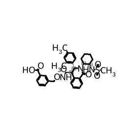 Cc1ccc([C@H]2[C@H](C(=O)NOCc3cccc(C(=O)O)c3)c3ccccc3C(=O)N2[C@H]2CCCC[C@@H]2NS(C)(=O)=O)c(C)c1